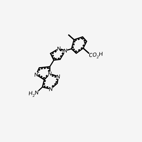 Cc1ccc(C(=O)O)cc1-n1cc(-c2cnc3c(N)ncnn23)cn1